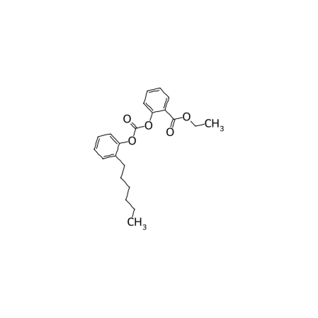 CCCCCCc1ccccc1OC(=O)Oc1ccccc1C(=O)OCC